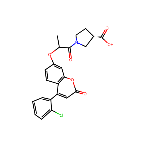 CC(Oc1ccc2c(-c3ccccc3Cl)cc(=O)oc2c1)C(=O)N1CC[C@H](C(=O)O)C1